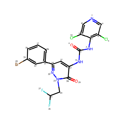 O=C(Nc1c(Cl)cncc1Cl)Nc1cc(-c2cccc(Br)c2)nn(CC(F)F)c1=O